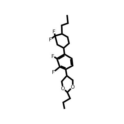 CCCC1OCC(c2ccc(C3CCC(CCC)C(F)(F)C3)c(F)c2F)CO1